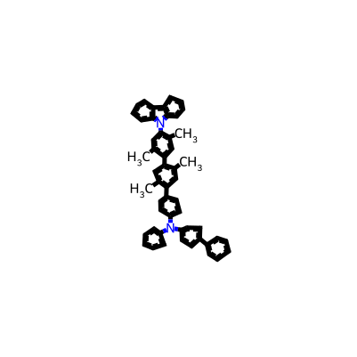 Cc1cc(-c2cc(C)c(-n3c4ccccc4c4ccccc43)cc2C)c(C)cc1-c1ccc(N(c2ccccc2)c2ccc(-c3ccccc3)cc2)cc1